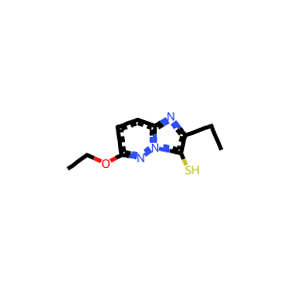 CCOc1ccc2nc(CC)c(S)n2n1